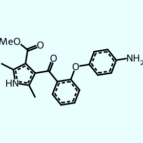 COC(=O)c1c(C)[nH]c(C)c1C(=O)c1ccccc1Oc1ccc(N)cc1